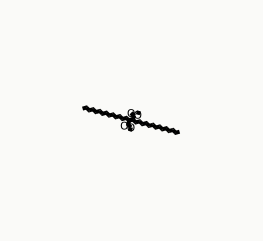 CCCCCCCCCCCCCCC(C(=O)OC)=C(CCCCCCCCCCCCCC)C(=O)OC